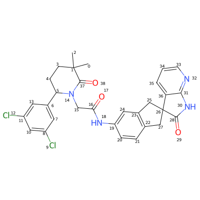 CC1(C)CCC(c2cc(Cl)cc(Cl)c2)N(CC(=O)Nc2ccc3c(c2)CC2(C3)C(=O)Nc3ncccc32)C1=O